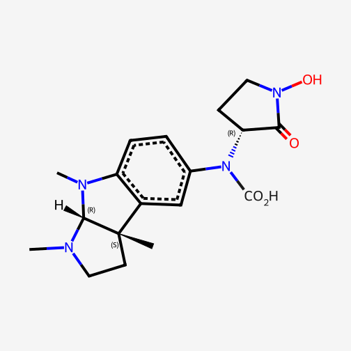 CN1CC[C@@]2(C)c3cc(N(C(=O)O)[C@@H]4CCN(O)C4=O)ccc3N(C)[C@@H]12